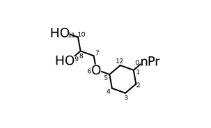 CCCC1CCCC(OCC(O)CO)C1